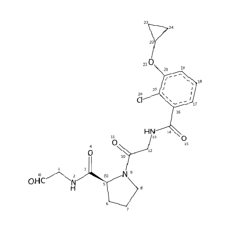 O=CCNC(=O)[C@@H]1CCCN1C(=O)CNC(=O)c1cccc(OC2CC2)c1Cl